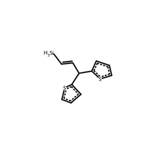 [SiH3]C=CC(c1cccs1)c1cccs1